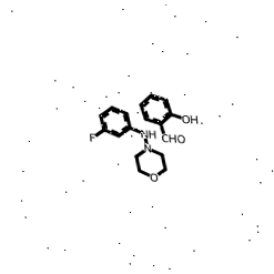 Fc1cccc(NN2CCOCC2)c1.O=Cc1ccccc1O